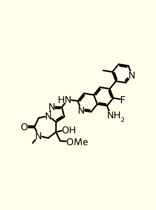 COCC1(O)CN(C)C(=O)Cn2nc(Nc3cc4cc(-c5cnccc5C)c(F)c(N)c4cn3)cc21